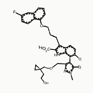 CCc1c(-c2c(Cl)ccc3c(CCCOc4cccc5cc(F)ccc45)c(C(=O)O)[nH]c23)c(COCC2(CCO)CC2)nn1C